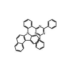 c1ccc(-c2nc(-c3ccccc3)nc(-c3ccccc3-n3c4ccccc4c4c5ccccc5ccc43)n2)cc1